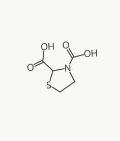 O=C(O)C1SCCN1C(=O)O